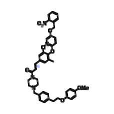 COc1ccc(OCCc2ccc(CN3CCN(C(=O)/C=C/c4cc(C)c(Oc5ccc(OCc6ccccc6[N+](=O)[O-])cn5)c(Cl)c4)CC3)cc2)cc1